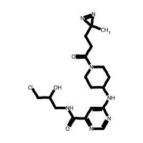 CC1(CCC(=O)N2CCC(Nc3cc(C(=O)NCC(O)CCl)ncn3)CC2)N=N1